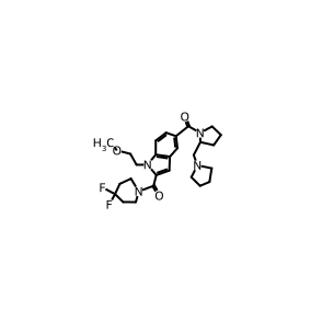 COCCn1c(C(=O)N2CCC(F)(F)CC2)cc2cc(C(=O)N3CCCC3CN3CCCC3)ccc21